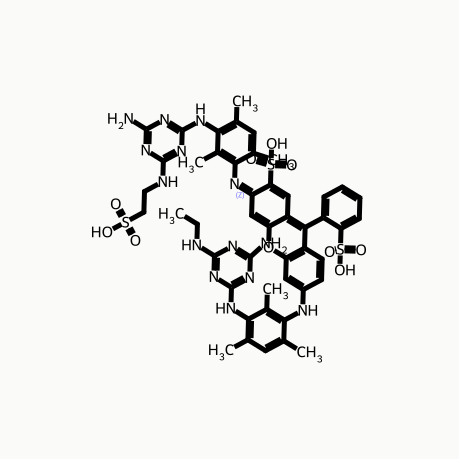 CCNc1nc(N)nc(Nc2c(C)cc(C)c(Nc3ccc4c(-c5ccccc5S(=O)(=O)O)c5cc(S(=O)(=O)O)/c(=N\c6c(C)cc(C)c(Nc7nc(N)nc(NCCS(=O)(=O)O)n7)c6C)cc-5oc4c3)c2C)n1